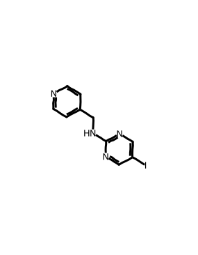 Ic1cnc(NCc2ccncc2)nc1